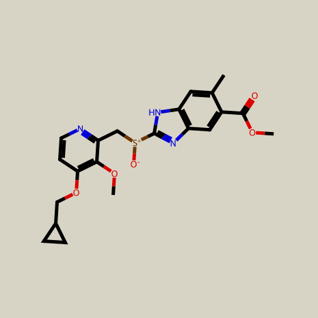 COC(=O)c1cc2nc([S+]([O-])Cc3nccc(OCC4CC4)c3OC)[nH]c2cc1C